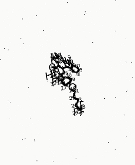 Cn1nc(C2=C(c3nnn[nH]3)C(=O)N[C@@](c3ccc(OCCCCCC(F)(F)F)cc3)(C(F)(F)F)C2)c2ccccc21